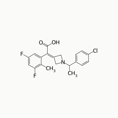 Cc1c(F)cc(F)cc1C(C(=O)O)=C1CN(C(C)c2ccc(Cl)cc2)C1